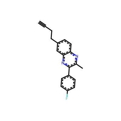 C#CCCc1ccc2nc(C)c(-c3ccc(F)cc3)nc2c1